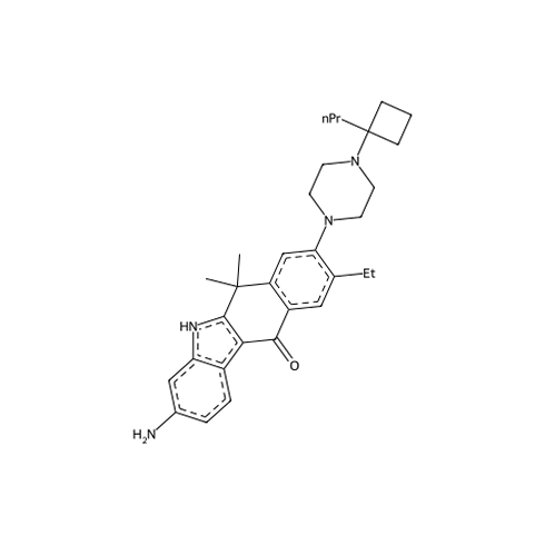 CCCC1(N2CCN(c3cc4c(cc3CC)C(=O)c3c([nH]c5cc(N)ccc35)C4(C)C)CC2)CCC1